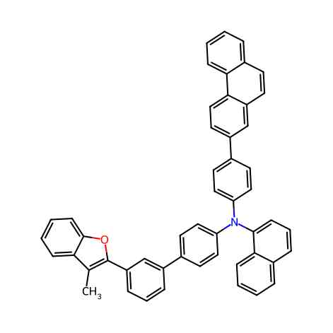 Cc1c(-c2cccc(-c3ccc(N(c4ccc(-c5ccc6c(ccc7ccccc76)c5)cc4)c4cccc5ccccc45)cc3)c2)oc2ccccc12